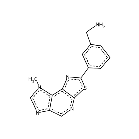 Cn1cnc2cnc3sc(-c4cccc(CN)c4)nc3c21